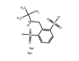 CC(C)(C)[NH+]([O-])Cc1c(S(=O)(=O)[O-])cccc1S(=O)(=O)[O-].[Na+].[Na+]